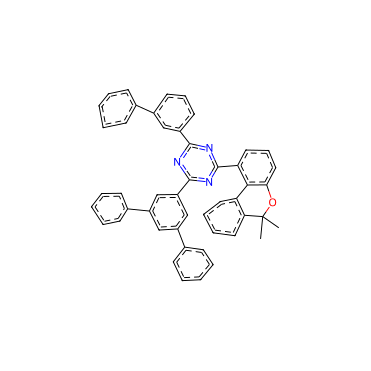 CC1(C)Oc2cccc(-c3nc(-c4cccc(-c5ccccc5)c4)nc(-c4cc(-c5ccccc5)cc(-c5ccccc5)c4)n3)c2-c2ccccc21